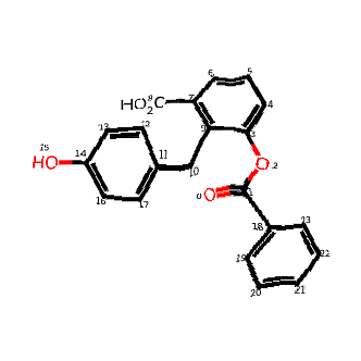 O=C(Oc1cccc(C(=O)O)c1Cc1ccc(O)cc1)c1ccccc1